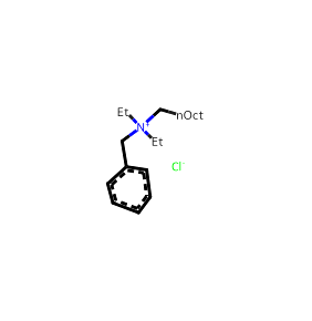 CCCCCCCCC[N+](CC)(CC)Cc1ccccc1.[Cl-]